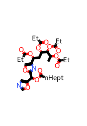 CCCCCCCC(=O)OC(c1cnco1)c1nc(C(CC(OC(=O)CC)C(OC(=O)CC)C(C)OC(=O)CC)OC(=O)CC)co1